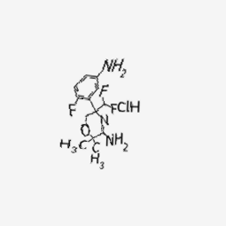 CC1(C)OCC(c2cc(N)ccc2F)(C(F)F)N=C1N.Cl